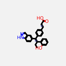 CC/C(=C(/c1ccc(/C=C/C(=O)O)cc1)c1ccc2[nH]ncc2c1)c1ccccc1O